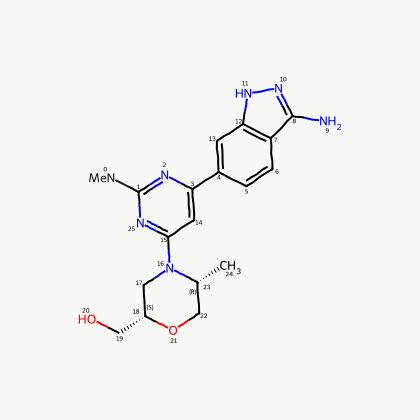 CNc1nc(-c2ccc3c(N)n[nH]c3c2)cc(N2C[C@@H](CO)OC[C@H]2C)n1